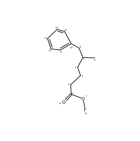 CC(CCCC(=O)OF)Cc1ccccc1